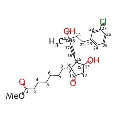 COC(=O)CCCCCC[C@H]1C(=O)C[C@H](O)[C@@H]1C#C[C@@](C)(O)CCc1cccc(Cl)c1